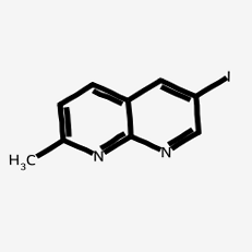 Cc1ccc2cc(I)cnc2n1